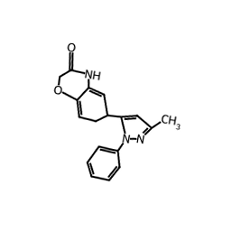 Cc1cc(C2C=C3NC(=O)COC3=CC2)n(-c2ccccc2)n1